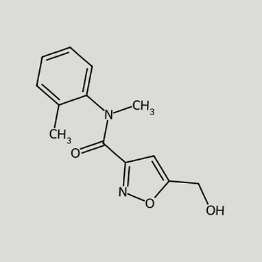 Cc1ccccc1N(C)C(=O)c1cc(CO)on1